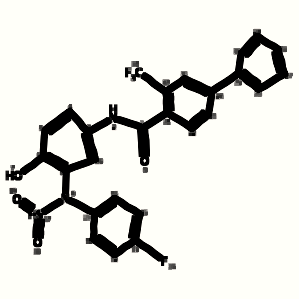 O=C(Nc1ccc(O)c(N(c2ccc(F)cc2)[SH](=O)=O)c1)c1ccc(-c2ccccc2)cc1C(F)(F)F